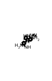 CN(C)CCN(C)C(=N)c1c(N)ccc2nc(-c3ccc(N)c(C=N)c3)c3c(c12)CCCC3